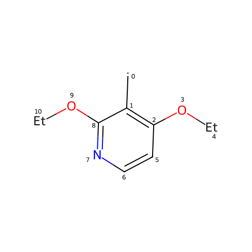 [CH2]c1c(OCC)ccnc1OCC